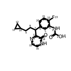 O=C(O)Nc1cc(C(CCC2CC2)c2ncc[nH]c2=O)ccc1F